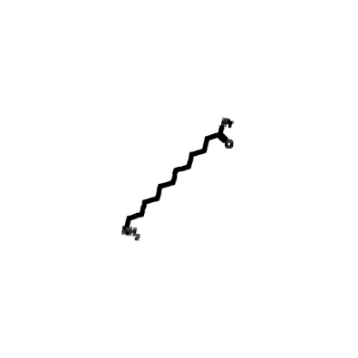 CC(C)C(=O)CCCCCCCCCCCN